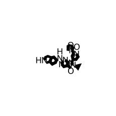 O=C1OCCN1c1cc(-n2c3nc(Nc4ccc5c(c4)CCNC5)ncc3c(=O)n2C2CC2)ccn1